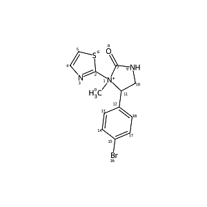 C[N+]1(c2nccs2)C(=O)NCC1c1ccc(Br)cc1